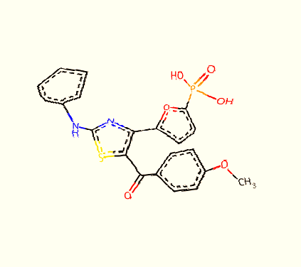 COc1ccc(C(=O)c2sc(Nc3ccccc3)nc2-c2ccc(P(=O)(O)O)o2)cc1